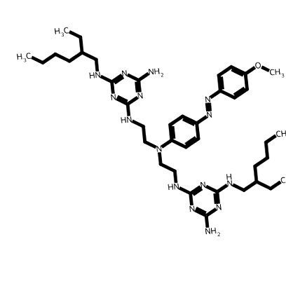 CCCCC(CC)CNc1nc(N)nc(NCCN(CCNc2nc(N)nc(NCC(CC)CCCC)n2)c2ccc(/N=N/c3ccc(OC)cc3)cc2)n1